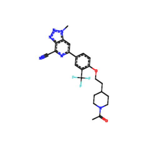 CC(=O)N1CCC(CCOc2ccc(-c3cc4c(nnn4C)c(C#N)n3)cc2C(F)(F)F)CC1